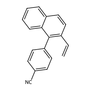 C=Cc1ccc2ccccc2c1-c1ccc(C#N)cc1